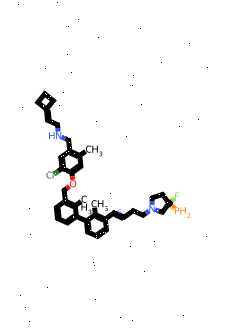 Cc1cc(OCc2cccc(-c3cccc(/C=C/CCN4CCC(F)(P)C4)c3C)c2C)c(Cl)cc1CNCC=C1CCC1